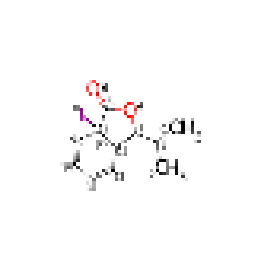 CC(C)C1OC(=O)[C@@]2(I)C=CC=CC12